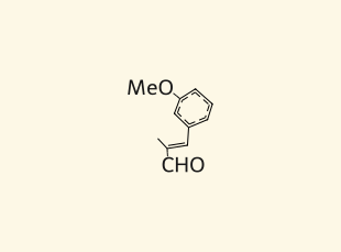 COc1cccc(C=C(C)C=O)c1